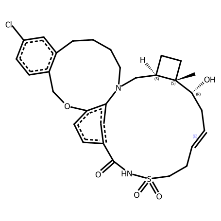 C[C@]12CC[C@@H]1CN1CCCCc3cc(Cl)ccc3COc3ccc(cc31)C(=O)NS(=O)(=O)CC/C=C/C[C@H]2O